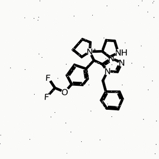 FC(F)Oc1ccc(C(c2nncn2Cc2ccccc2)[N+]2(C3CCNC3)CCCC2)cc1